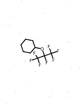 FC(F)(F)C(F)(OC1CCCCC1)C(F)(F)F